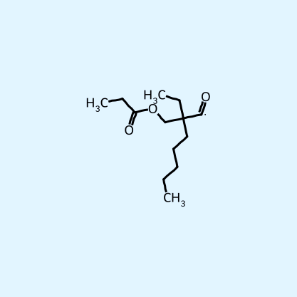 CCCCCC([C]=O)(CC)COC(=O)CC